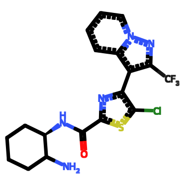 NC1CCCC[C@H]1NC(=O)c1nc(-c2c(C(F)(F)F)nn3ccccc23)c(Cl)s1